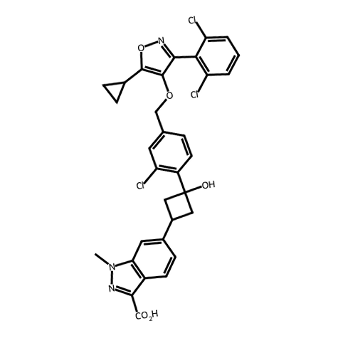 Cn1nc(C(=O)O)c2ccc(C3CC(O)(c4ccc(COc5c(-c6c(Cl)cccc6Cl)noc5C5CC5)cc4Cl)C3)cc21